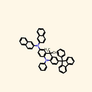 CC1(C)c2cc(N(c3ccc4ccccc4c3)c3ccc4ccccc4c3)ccc2N(c2ccccc2)c2ccc(C3(c4ccccc4)c4ccccc4-c4ccccc43)cc21